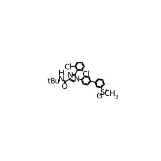 C[S+]([O-])c1cccc(-c2ccc(-n3cc(C(=O)NC(C)(C)C)nc3-c3c(Cl)cccc3Cl)cc2)c1